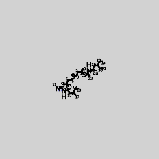 C=C(CCSCCCS/C(=N\C)NC(=O)CC(C)CC)SC(=C)NC(=O)CC(CC)CC